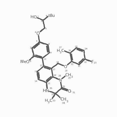 COc1cc(OCC(O)C(C)(C)C)ccc1-c1ccc2c(c1COc1cc(F)ccc1C)N(C)C(=O)C(C)(C)N2